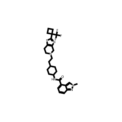 Cn1cc2c(C(=O)NC3CCC(CCN4CCc5sc(C6(C(F)(F)F)CCC6)nc5C4)CC3)cccc2n1